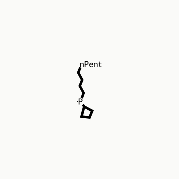 CCCCCCCCC[P]C1CCC1